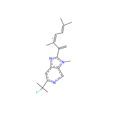 C=C(/C(C)=C\C=C(C)C)c1nc2cc(C(C)(C)F)ncc2n1C